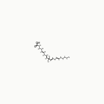 CCCCC/C=C/C/C=C/C(C)(C)/C=C/C/C=C/CCCC(=O)O